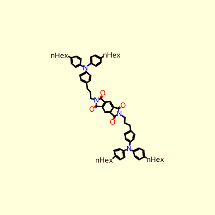 CCCCCCc1ccc(N(c2ccc(CCCCCC)cc2)c2ccc(CCCn3c(=O)c4cc5c(=O)n(CCCc6ccc(N(c7ccc(CCCCCC)cc7)c7ccc(CCCCCC)cc7)cc6)c(=O)c5cc4c3=O)cc2)cc1